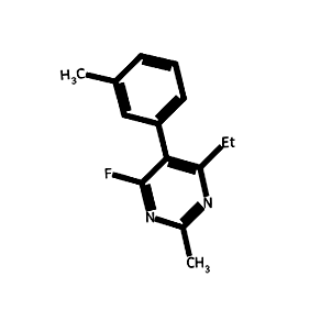 CCc1nc(C)nc(F)c1-c1cccc(C)c1